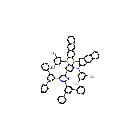 CC(C)(C)c1cc(N2c3cc4cc5ccccc5cc4cc3B3c4cc5cc6ccccc6cc5cc4N(c4cc(C(C)(C)C)cc(C(C)(C)C)c4)c4cc(-c5cc(-c6cc(-c7ccccc7)cc(-c7ccccc7)c6)nc(-c6cc(-c7ccccc7)cc(-c7ccccc7)c6)n5)cc2c43)cc(C(C)(C)C)c1